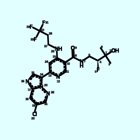 CC(C)(O)[C@H](F)CNC(=O)c1cnc(-c2cnc3cc(Cl)cnn23)cc1NCCC(F)(F)F